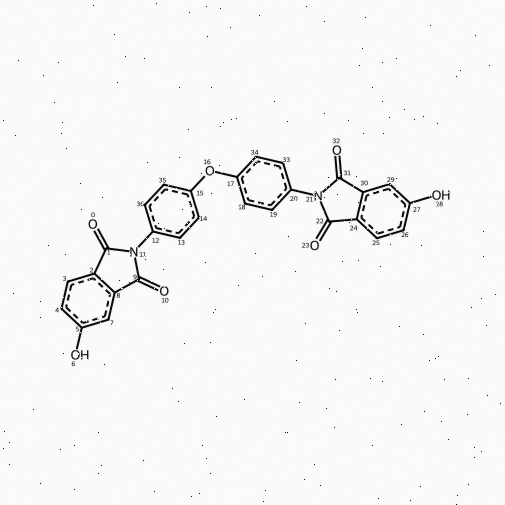 O=C1c2ccc(O)cc2C(=O)N1c1ccc(Oc2ccc(N3C(=O)c4ccc(O)cc4C3=O)cc2)cc1